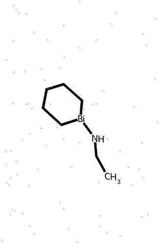 CC[NH][Bi]1[CH2]CCC[CH2]1